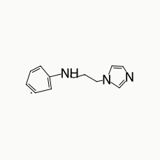 [c]1cccc(NCCCn2ccnc2)c1